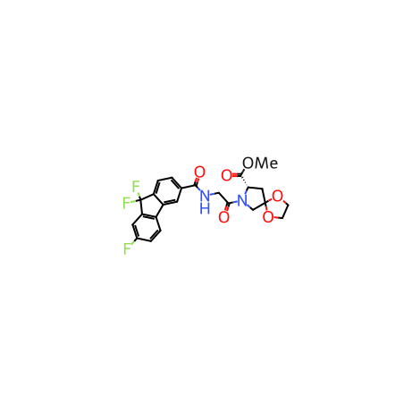 COC(=O)[C@@H]1CC2(CN1C(=O)CNC(=O)c1ccc3c(c1)-c1ccc(F)cc1C3(F)F)OCCO2